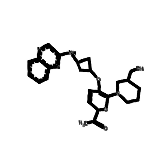 CC(=O)C1C=CC(OC2CC(Nc3cnc4ccccc4n3)C2)=C(N2CCCC(CO)C2)O1